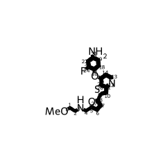 COCCNCc1ccc(-c2cc3nccc(Oc4ccc(N)cc4F)c3s2)o1